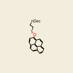 CCCCCCCCCCCCSOc1ccc2ccc3cccc4ccc1c2c34